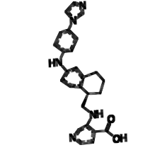 O=C(O)c1ccncc1NC[C@@H]1CCCc2cc(Nc3ccc(-n4ccnc4)cc3)ccc21